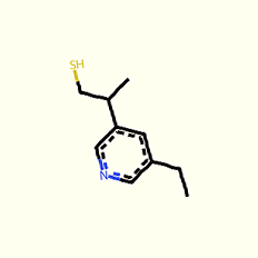 CCc1cncc(C(C)CS)c1